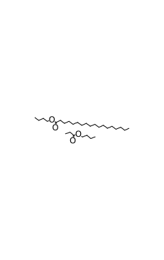 CCCCCCCCCCCCCCCCCC(=O)OCCCC.CCCCOC(=O)CC